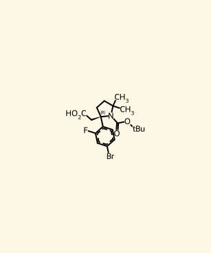 CC(C)(C)OC(=O)N1C(C)(C)CC[C@@]1(CC(=O)O)c1ccc(Br)cc1F